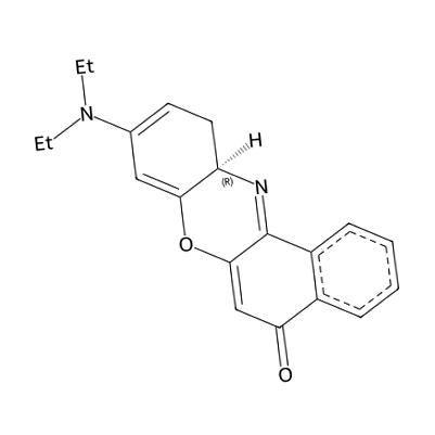 CCN(CC)C1=CC[C@H]2N=C3C(=CC(=O)c4ccccc43)OC2=C1